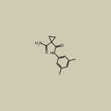 Cc1cc(C)cc(NC(=O)C2(C(N)=O)CC2)c1